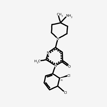 Cc1nc(N2CCC(C)(N)CC2)cc(=O)n1C1=CC=CC(Cl)[C@@H]1Cl